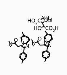 Cc1ccc(-c2nc3ccc(C)cn3c2CC(=O)N(C)C)cc1.Cc1ccc(-c2nc3ccc(C)cn3c2CC(=O)N(C)C)cc1.O=C(O)C(O)C(O)C(=O)O.[AlH3]